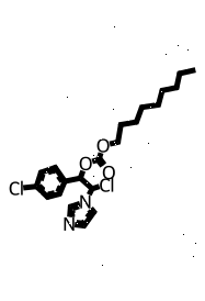 CCCCCCCCCOC(=O)OC(c1ccc(Cl)cc1)C(Cl)n1ccnc1